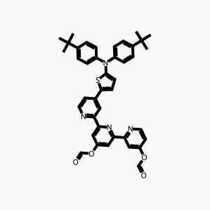 CC(C)(C)c1ccc(N(c2ccc(C(C)(C)C)cc2)c2ccc(-c3ccnc(-c4cc(OC=O)cc(-c5cc(OC=O)ccn5)n4)c3)s2)cc1